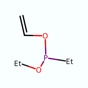 C=COP(CC)OCC